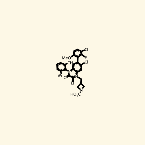 COc1ccc(Cl)c(F)c1-c1cc2c(cc1Cl)n(CC1CN(C(=O)O)C1)c(=O)c(=O)n2-c1c(C)cccc1C(C)C